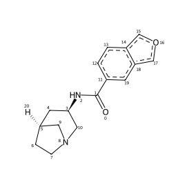 O=C(N[C@@H]1C[C@@H]2CCN(C2)C1)c1ccc2cocc2c1